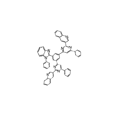 c1ccc(-c2cc(-c3cc(-c4cc(-c5ccccc5)nc(-c5cnc6ccccc6c5)n4)cc(-c4nc5ccccc5n4-c4ccccc4)c3)nc(-c3cnc4ccccc4c3)n2)cc1